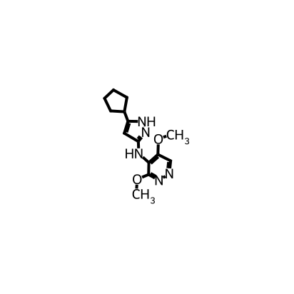 COc1cnnc(OC)c1Nc1cc(C2CCCC2)[nH]n1